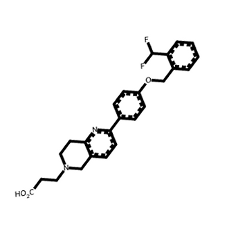 O=C(O)CCN1CCc2nc(-c3ccc(OCc4ccccc4C(F)F)cc3)ccc2C1